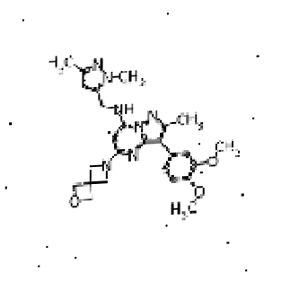 COc1ccc(-c2c(C)nn3c(NCc4cc(C)nn4C)cc(N4CC5(COC5)C4)nc23)cc1OC